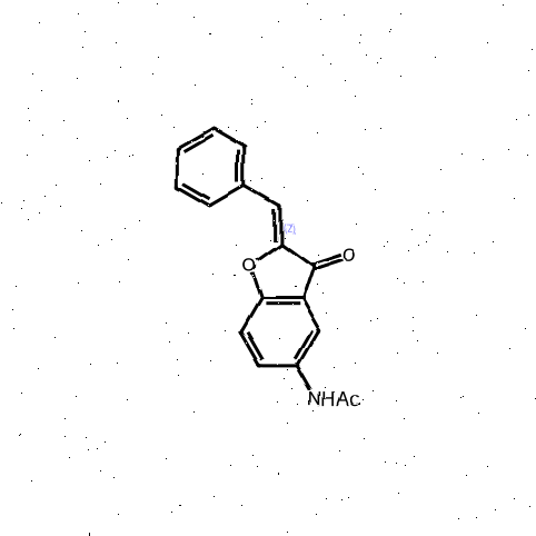 CC(=O)Nc1ccc2c(c1)C(=O)/C(=C/c1ccccc1)O2